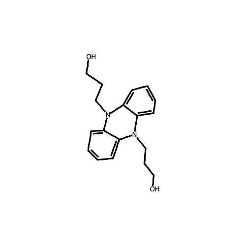 OCCCN1c2ccccc2N(CCCO)c2ccccc21